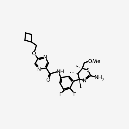 COC[C@@]1(C)SC(N)=N[C@](C)(c2cc(NC(=O)c3cnc(OCC4CCC4)cn3)cc(F)c2F)[C@@H]1C